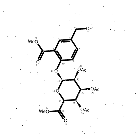 COC(=O)c1cc(CO)ccc1O[C@@H]1OC(C(=O)OC)[C@H](OC(C)=O)[C@H](OC(C)=O)[C@@H]1OC(C)=O